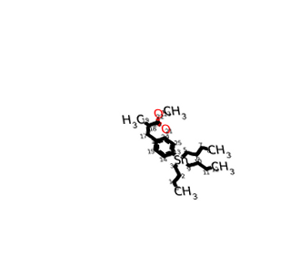 CCC[CH2][Sn]([CH2]CCC)([CH2]CCC)[c]1ccc(CC(C)C(=O)OC)cc1